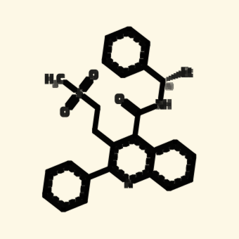 CC[C@H](NC(=O)c1c(CCS(C)(=O)=O)c(-c2ccccc2)nc2ccccc12)c1ccccc1